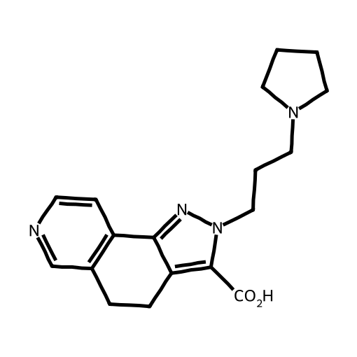 O=C(O)c1c2c(nn1CCCN1CCCC1)-c1ccncc1CC2